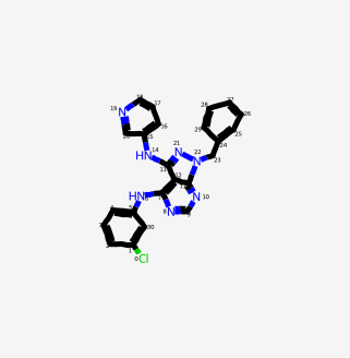 Clc1cccc(Nc2ncnc3c2c(Nc2cccnc2)nn3Cc2ccccc2)c1